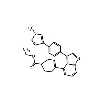 CCOC(=O)C1CC=C(c2cccn3ncc(-c4ccc(-c5cnn(C)c5)cc4)c23)CC1